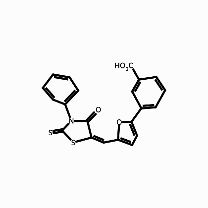 O=C(O)c1cccc(-c2ccc(C=C3SC(=S)N(c4ccccc4)C3=O)o2)c1